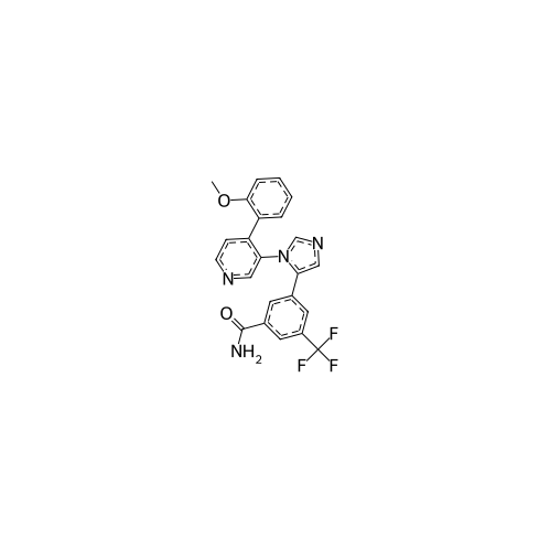 COc1ccccc1-c1ccncc1-n1cncc1-c1cc(C(N)=O)cc(C(F)(F)F)c1